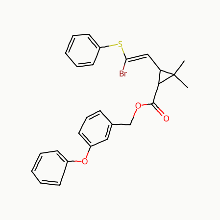 CC1(C)C(/C=C(\Br)Sc2ccccc2)C1C(=O)OCc1cccc(Oc2ccccc2)c1